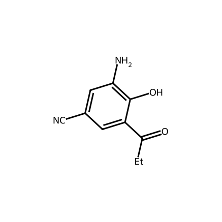 CCC(=O)c1cc(C#N)cc(N)c1O